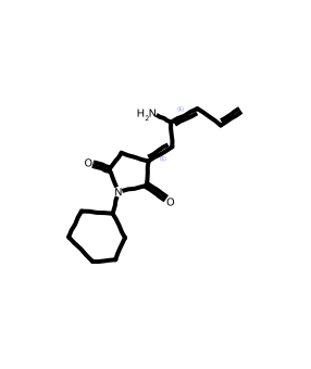 C=C/C=C(N)\C=C1/CC(=O)N(C2CCCCC2)C1=O